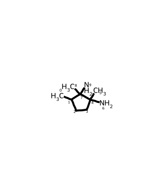 CC1CCC(C)(N)C1(C)N